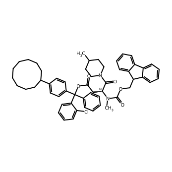 CC1CCN(C(=O)[C@H](CC(=O)OC(c2ccccc2)(c2ccc(C3CCCCCCCCC3)cc2)c2ccccc2Cl)N(C)C(=O)OCC2c3ccccc3-c3ccccc32)CC1